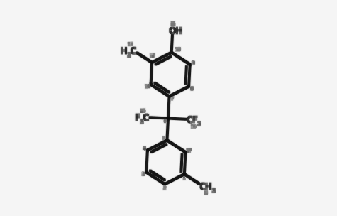 Cc1cccc(C(c2ccc(O)c(C)c2)(C(F)(F)F)C(F)(F)F)c1